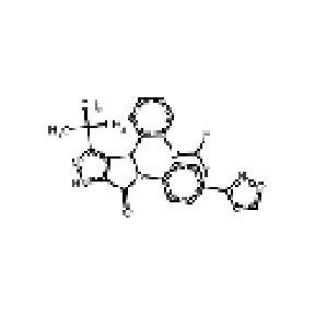 CC(C)(C)c1n[nH]c2c1C(c1ccccc1OC(F)F)N(c1ccc(-c3ccon3)cc1)C2=O